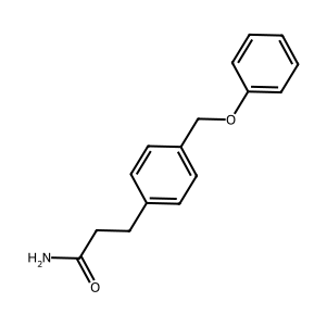 NC(=O)CCc1ccc(COc2ccccc2)cc1